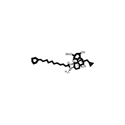 COc1cc(O)c2c3c1O[C@H]1[C@H](N(C)C(=O)CCCCCCCCCCc4ccccc4)CC[C@H]4[C@@H](C2)N(CC2CC2)CC[C@@]341